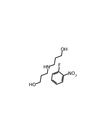 O=[N+]([O-])c1ccccc1F.OCCCNCCCO